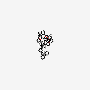 c1ccc(-c2nc(-c3cccc(-n4c5ccccc5c5ccccc54)c3)nc(-c3cccc4oc5ccc(-c6cccc7sc8cccc(-c9ccc%10c(c9)sc9ccccc9%10)c8c67)cc5c34)n2)cc1